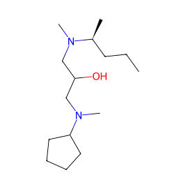 CCC[C@H](C)N(C)CC(O)CN(C)C1CCCC1